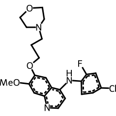 COc1cc2nccc(Nc3ccc(Cl)cc3F)c2cc1OCCCN1CCOCC1